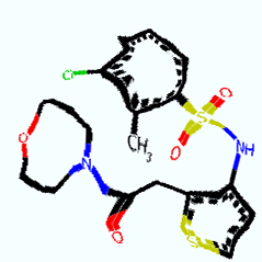 Cc1c(Cl)cccc1S(=O)(=O)Nc1ccsc1CC(=O)N1CCOCC1